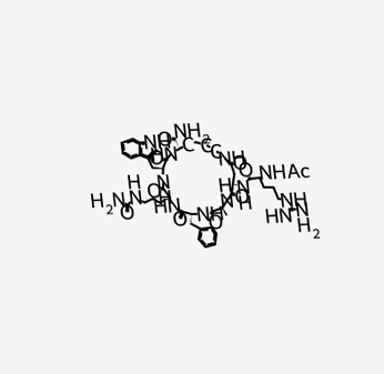 CC(=O)N[C@@H](CCCNC(=N)N)C(=O)N[C@H]1CC(=O)NCCCC[C@@H](C(N)=O)NC(=O)[C@H](Cc2c[nH]c3ccccc23)NC(=O)[C@H](CCCNC(N)=O)NC(=O)[C@@H](Cc2ccccc2)NC(=O)[C@H](C)NC1=O